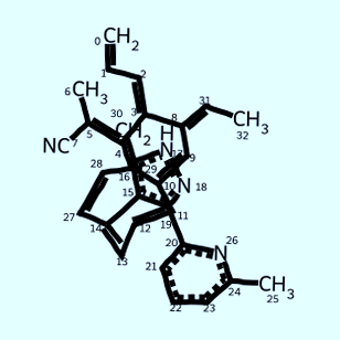 C=C/C=C(\C=C(/C)C#N)C(/C=C1/C=C/C=C(c2c[nH]nc2-c2cccc(C)n2)/C=C\C1=C)=C/C